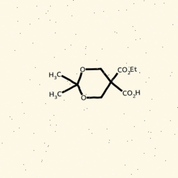 CCOC(=O)C1(C(=O)O)COC(C)(C)OC1